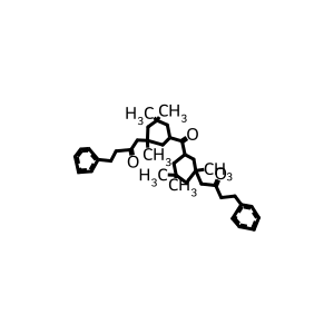 CC1(C)CC(C(=O)C2CC(C)(C)CC(C)(CC(=O)CCc3ccccc3)C2)CC(C)(CC(=O)CCc2ccccc2)C1